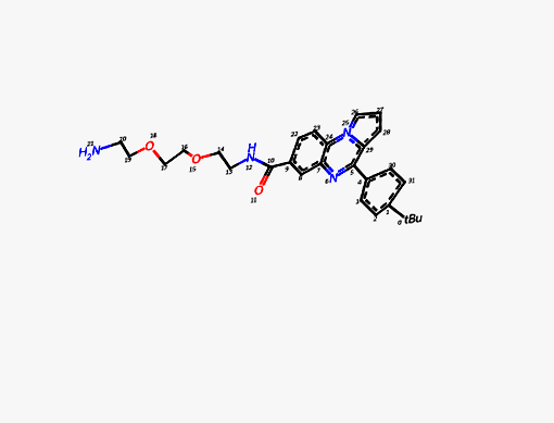 CC(C)(C)c1ccc(-c2nc3cc(C(=O)NCCOCCOCCN)ccc3n3cccc23)cc1